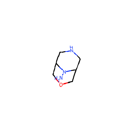 NN1C2CNCC1COC2